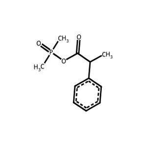 CC(C(=O)OP(C)(C)=O)c1ccccc1